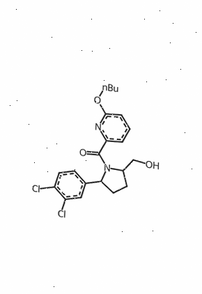 CCCCOc1cccc(C(=O)N2C(CO)CCC2c2ccc(Cl)c(Cl)c2)n1